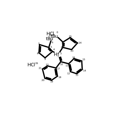 CC(C)(C)C1=[C]([Hf]([C]2=C(C(C)(C)C)C=CC2)=[C](c2ccccc2)c2ccccc2)CC=C1.Cl.Cl